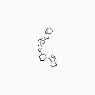 C[C@@](O)(CNCc1ccccn1)COc1cccc(-c2onc3sccc23)c1